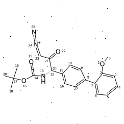 COc1ccccc1-c1ccc([C@H](NC(=O)OC(C)(C)C)C(=O)C=[N+]=[N-])cc1